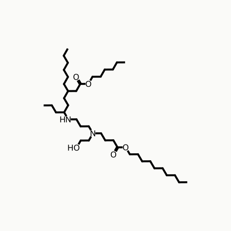 CCCCCCCCCCOC(=O)CCCN(CCO)CCCNC(CCC)CCC(CCCCCC)CC(=O)OCCCCCC